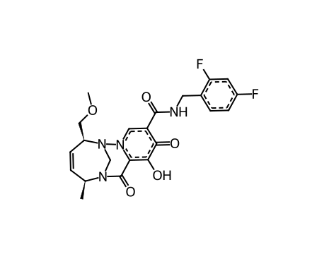 COC[C@@H]1C=C[C@H](C)N2CN1n1cc(C(=O)NCc3ccc(F)cc3F)c(=O)c(O)c1C2=O